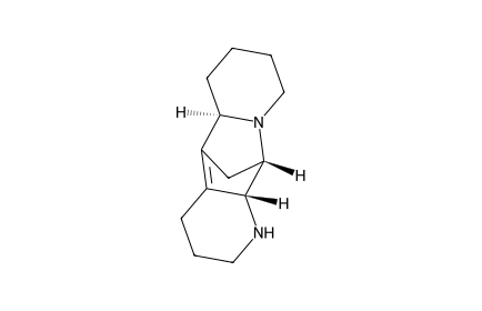 C1CN[C@@H]2C(=C3C[C@@H]2N2CCCC[C@H]32)C1